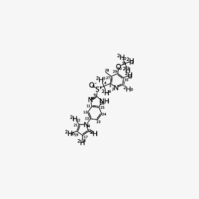 [2H]c1nc(C([2H])([2H])[S+]([O-])c2nc3cc(-n4c([2H])c([2H])c([2H])c4[2H])ccc3[nH]2)c(C)c(OC([2H])([2H])[2H])c1[2H]